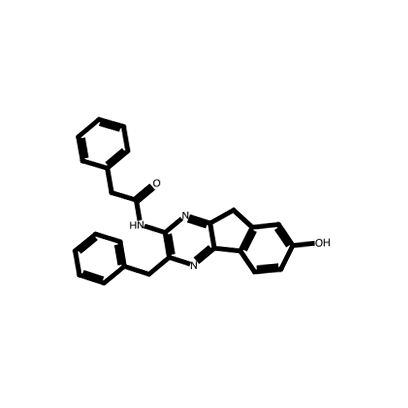 O=C(Cc1ccccc1)Nc1nc2c(nc1Cc1ccccc1)-c1ccc(O)cc1C2